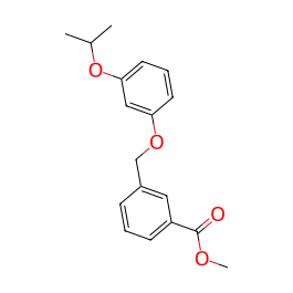 COC(=O)c1cccc(COc2cccc(OC(C)C)c2)c1